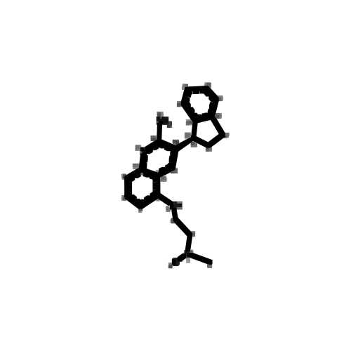 C[S+]([O-])CCNc1cccc2nc(N)c([C@@H]3CCc4ccccc43)cc12